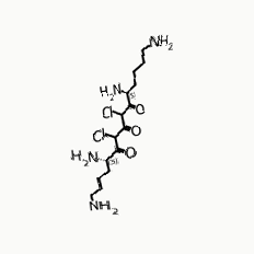 NCCCC[C@H](N)C(=O)C(Cl)C(=O)C(Cl)C(=O)[C@@H](N)CCCCN